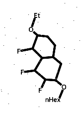 CCCCCCOC1CC2CCC(OCC)C(F)C2C(F)C1F